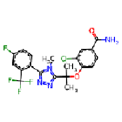 Cn1c(-c2ccc(F)cc2C(F)(F)F)nnc1C(C)(C)Oc1ccc(C(N)=O)cc1Cl